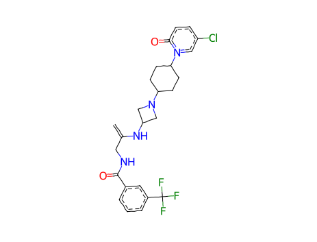 C=C(CNC(=O)c1cccc(C(F)(F)F)c1)NC1CN(C2CCC(n3cc(Cl)ccc3=O)CC2)C1